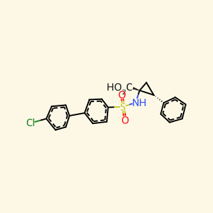 O=C(O)[C@@]1(NS(=O)(=O)c2ccc(-c3ccc(Cl)cc3)cc2)C[C@@H]1c1ccccc1